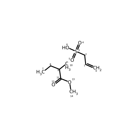 C=CCS(=O)(=O)O.CCC(C)C(=O)OC